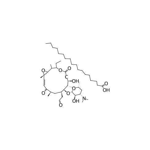 CCC1OC(=O)C[C@@H](O)[C@H](C)[C@@H](O[C@@H]2O[C@H](C)C[C@H](N(C)C)[C@H]2O)[C@@H](CC=O)C[C@@H](C)C(=O)/C=C/[C@]2(C)OC2C1C.CCCCCCCCCCCCCCCCCC(=O)O